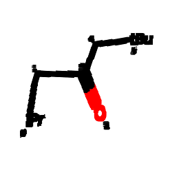 CC(C)CC(=O)CC(C)(C)C